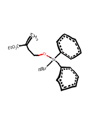 C=C(CO[Si](c1ccccc1)(c1ccccc1)C(C)(C)C)C(=O)OCC